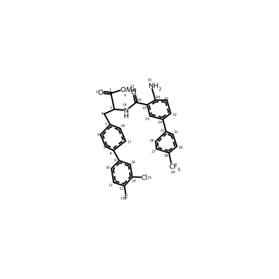 COC(=O)C(Cc1ccc(-c2ccc(F)c(Cl)c2)cc1)NC(=O)c1cc(-c2ccc(C(F)(F)F)cc2)ccc1N